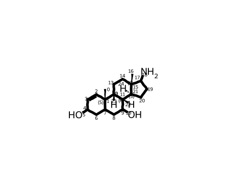 C[C@]12C=CC(O)CC1CC(O)[C@@H]1[C@H]2CC[C@]2(C)C(N)CC[C@@H]12